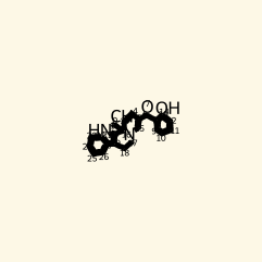 CCC12C=CC(C(=O)c3ccccc3O)=CN1CCc1c2[nH]c2ccccc12